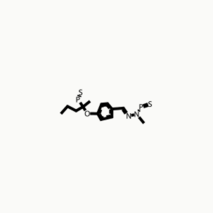 CCCC(C)(Oc1ccc(/C=N/N(C)P=S)cc1)P=S